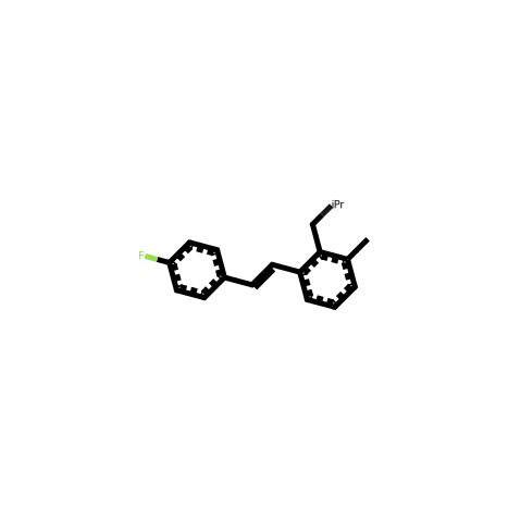 Cc1cccc(/C=C/c2ccc(F)cc2)c1CC(C)C